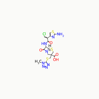 Cn1nnnc1SCC1(C(=O)O)CS[C@@H]2C(NC(=O)C(=CCl)c3csc(N)n3)C(=O)N2C1